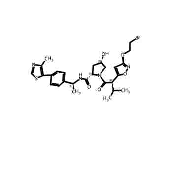 Cc1ncsc1-c1ccc([C@H](C)NC(=O)[C@@H]2C[C@@H](O)CN2C(=O)[C@@H](c2cc(OCCBr)no2)C(C)C)cc1